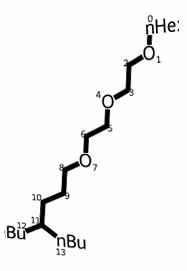 CCCCCCOCCOCCOCCCC(CCCC)CCCC